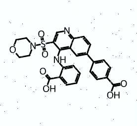 O=C(O)c1ccc(-c2ccc3ncc(S(=O)(=O)N4CCOCC4)c(Nc4ccccc4C(=O)O)c3c2)cc1